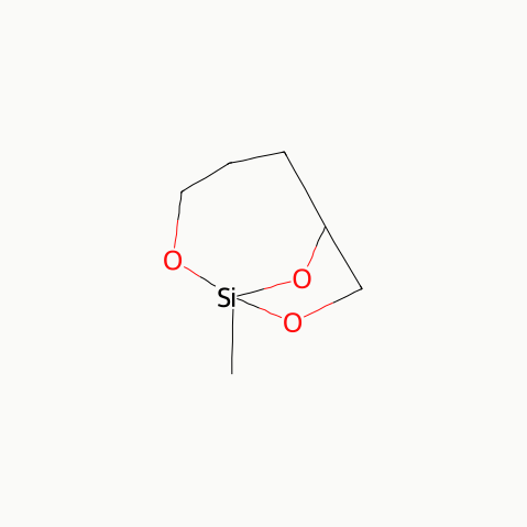 C[Si]12OCCCC(CO1)O2